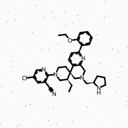 CCOc1ccccc1-c1ccc2c(n1)CN(C[C@H]1CCCN1)C[C@@]21CCN(c2ncc(Cl)cc2C#N)C[C@@H]1CC